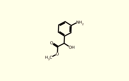 COC(=O)C(O)c1cccc(N)c1